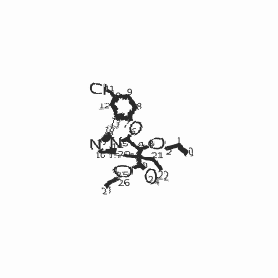 C=CCOC(C(Oc1ccc(Cl)cc1)n1ccnc1)C(C)(CC)C(=O)OCC